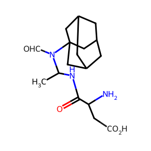 CC(NC(=O)C(N)CC(=O)O)N(C=O)C12CC3CC(CC(C3)C1)C2